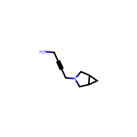 NCC#CCN1CC2CC2C1